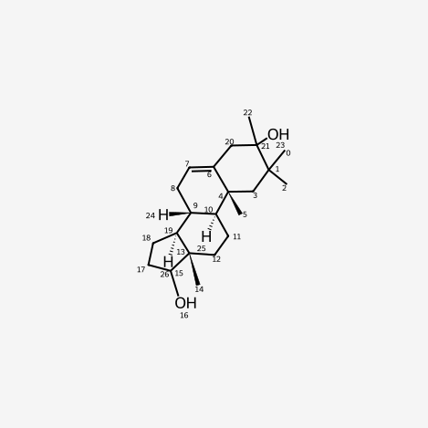 CC1(C)C[C@@]2(C)C(=CC[C@@H]3[C@@H]2CC[C@]2(C)C(O)CC[C@@H]32)CC1(C)O